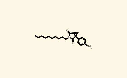 CCCCCCCCCCN1C(=O)C2CC2(c2ccc(N)cc2)C1=O